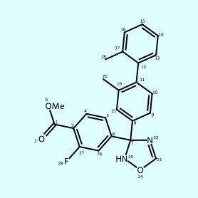 COC(=O)c1ccc(C2(c3ccc(-c4ccccc4C)c(C)c3)N=CON2)cc1F